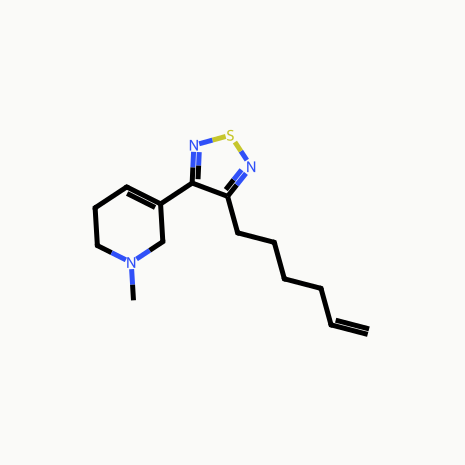 C=CCCCCc1nsnc1C1=CCCN(C)C1